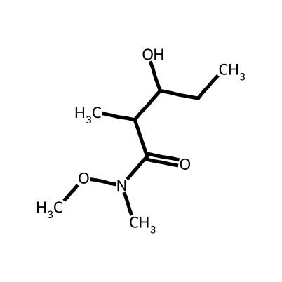 CCC(O)C(C)C(=O)N(C)OC